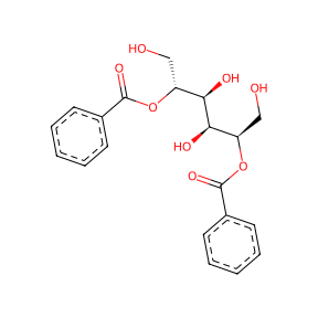 O=C(O[C@H](CO)[C@@H](O)[C@H](O)[C@@H](CO)OC(=O)c1ccccc1)c1ccccc1